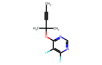 CC#CC(C)(C)Oc1ncnc(F)c1F